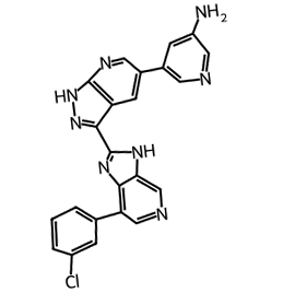 Nc1cncc(-c2cnc3[nH]nc(-c4nc5c(-c6cccc(Cl)c6)cncc5[nH]4)c3c2)c1